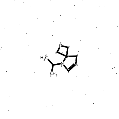 CC(C)N1C=CCC12COC2